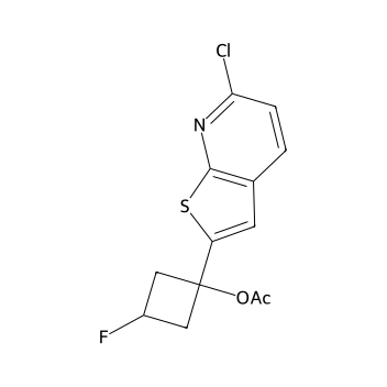 CC(=O)OC1(c2cc3ccc(Cl)nc3s2)CC(F)C1